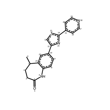 CC1CCC(=O)Nc2ccc(-c3csc(-c4ccncc4)n3)cc21